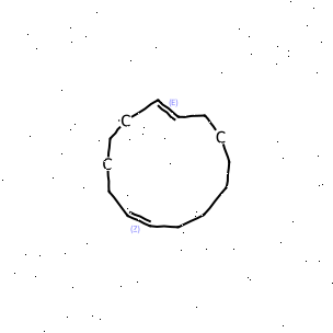 [CH]1/C=C/CCCCCC/C=C\CCC1